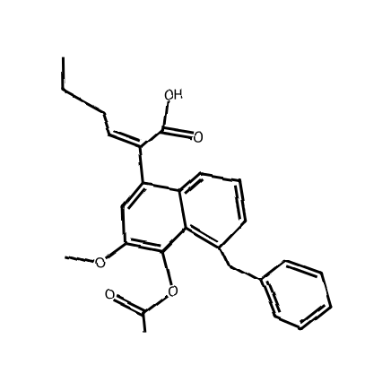 CCC/C=C(\C(=O)O)c1cc(OC)c(OC(C)=O)c2c(Cc3ccccc3)cccc12